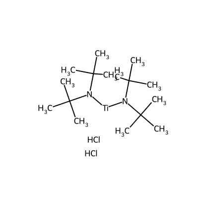 CC(C)(C)[N]([Ti][N](C(C)(C)C)C(C)(C)C)C(C)(C)C.Cl.Cl